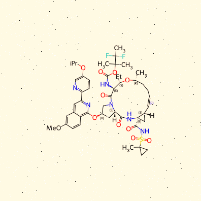 CC[C@@H]1O[C@H](C)CC/C=C\[C@@H]2C[C@@]2(C(=O)NS(=O)(=O)C2(C)CC2)NC(=O)[C@@H]2C[C@@H](Oc3nc(-c4ccc(OC(C)C)cn4)cc4cc(OC)ccc34)CN2C(=O)[C@H]1NC(=O)OC(C)(C)C(C)(F)F